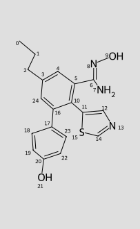 CCCc1cc(/C(N)=N/O)c(-c2cncs2)c(-c2ccc(O)cc2)c1